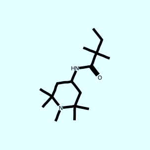 CCC(C)(C)C(=O)NC1CC(C)(C)N(C)C(C)(C)C1